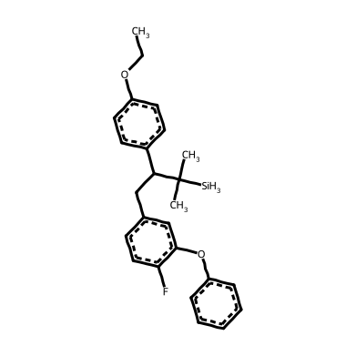 CCOc1ccc(C(Cc2ccc(F)c(Oc3ccccc3)c2)C(C)(C)[SiH3])cc1